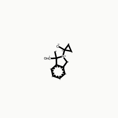 CC1(C=O)c2ccccc2CN1C1(Cl)CC1